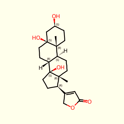 C[C@]12CC[C@H](O)C[C@@]1(O)CC[C@@H]1[C@@H]2CC[C@]2(C)[C@@H](C3=CC(=O)OC3)CC[C@]12O